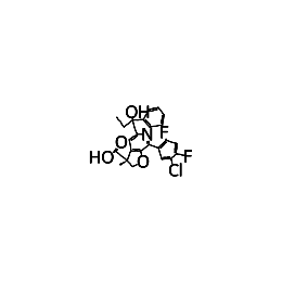 CC[C@@](O)(c1ccccc1)c1cc2c(c(-c3cc(Cl)c(F)cc3F)n1)OC[C@]2(C)C(=O)O